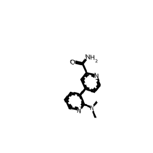 CN(C)c1ncccc1-c1ccnc(C(N)=O)c1